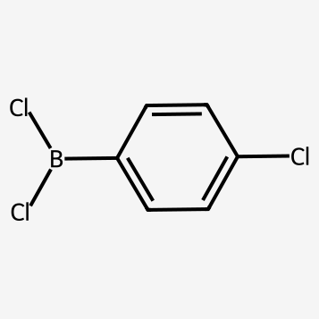 ClB(Cl)c1ccc(Cl)cc1